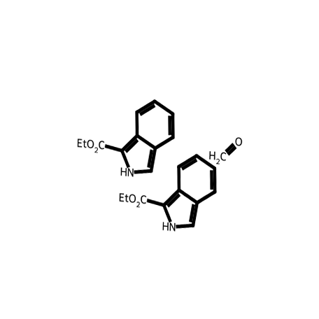 C=O.CCOC(=O)c1[nH]cc2ccccc12.CCOC(=O)c1[nH]cc2ccccc12